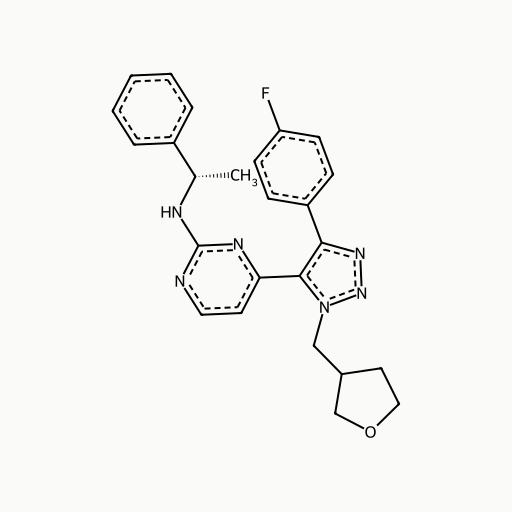 C[C@H](Nc1nccc(-c2c(-c3ccc(F)cc3)nnn2CC2CCOC2)n1)c1ccccc1